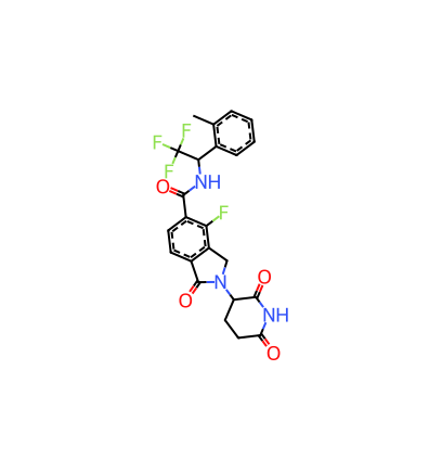 Cc1ccccc1C(NC(=O)c1ccc2c(c1F)CN(C1CCC(=O)NC1=O)C2=O)C(F)(F)F